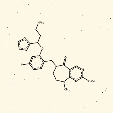 CNCCC(Oc1cc(F)ccc1CN1CCN(C)c2nc(OC)ncc2C1=O)c1cccs1